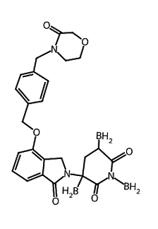 BC1CC(B)(N2Cc3c(OCc4ccc(CN5CCOCC5=O)cc4)cccc3C2=O)C(=O)N(B)C1=O